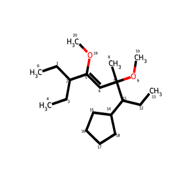 CCC(CC)/C(=C/C(C)(OC)C(CC)C1CCCC1)OC